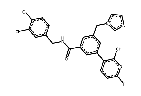 Cc1nc(F)ccc1-c1cc(Cn2ccnc2)cc(C(=O)NCc2ccc(Cl)c(Cl)c2)c1